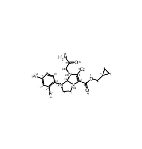 CCC1=C(C(=O)OCC2CC2)N2CCN(c3ccc(C(C)C)cc3Br)C2N1CC(N)=O